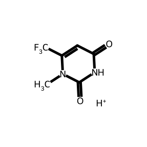 Cn1c(C(F)(F)F)cc(=O)[nH]c1=O.[H+]